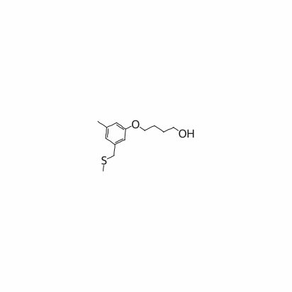 CSCc1cc(C)cc(OCCCCO)c1